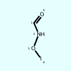 O=CNOI